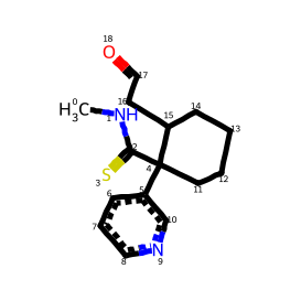 CNC(=S)C1(c2cccnc2)CCCCC1CC=O